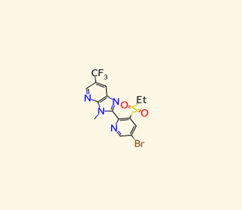 CCS(=O)(=O)c1cc(Br)cnc1-c1nc2cc(C(F)(F)F)cnc2n1C